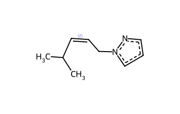 CC(C)/C=C\Cn1cccn1